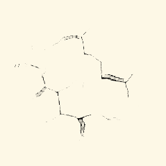 CC(C)=CCCC(C)=CC=O.CC(C)OC(=O)C(O)C(O)C(=O)OC(C)C